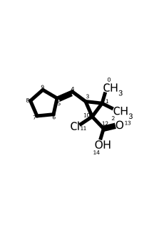 CC1(C)C(C=C2CCCC2)C1(Cl)C(=O)O